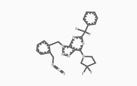 FC1(F)CCN(c2nc(C(F)(F)c3ccccc3)nc3c2nnn3Cc2ccccc2CN=C=S)C1